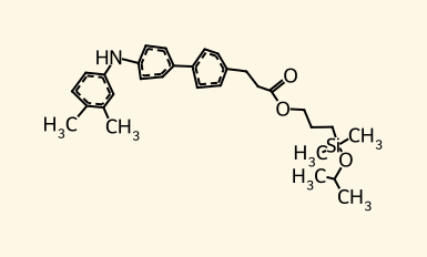 Cc1ccc(Nc2ccc(-c3ccc(CCC(=O)OCCC[Si](C)(C)OC(C)C)cc3)cc2)cc1C